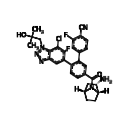 CC(C)(O)Cn1nnc2cc(-c3ccc(C(=O)N4[C@@H]5CC[C@H]4[C@@H](N)C5)cc3-c3ccc(C#N)c(F)c3)c(F)c(Cl)c21